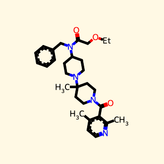 CCOCC(=O)N(Cc1ccccc1)C1CCN(C2(C)CCN(C(=O)c3c(C)ccnc3C)CC2)CC1